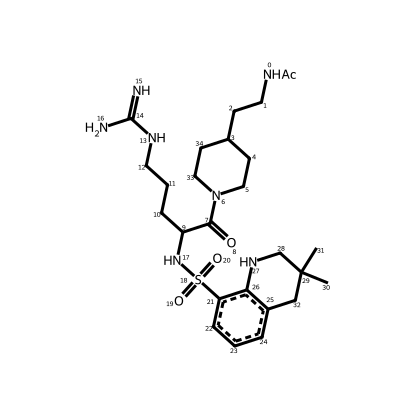 CC(=O)NCCC1CCN(C(=O)C(CCCNC(=N)N)NS(=O)(=O)c2cccc3c2NCC(C)(C)C3)CC1